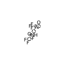 COc1cccn2c(-c3ccc(NC(=O)c4cc(F)c(F)cc4F)cc3)c(C(F)(F)F)cc12